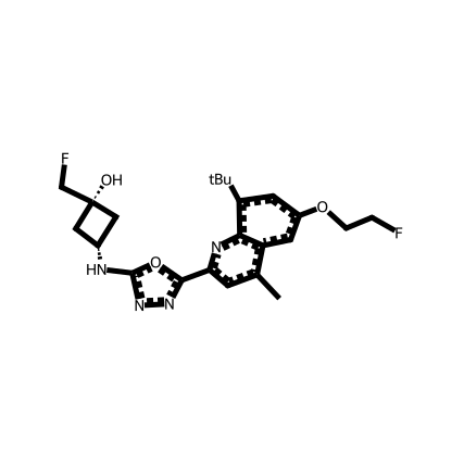 Cc1cc(-c2nnc(N[C@H]3C[C@](O)(CF)C3)o2)nc2c(C(C)(C)C)cc(OCCF)cc12